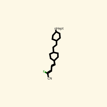 CCCCCCCC1CCC(CCC2CCC(C=CC=C(F)C#N)CC2)CC1